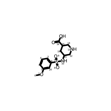 COc1cccc(S(=O)(=O)NC2CNCC(C(=O)O)C2)c1